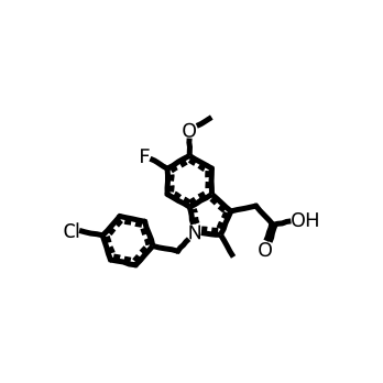 COc1cc2c(CC(=O)O)c(C)n(Cc3ccc(Cl)cc3)c2cc1F